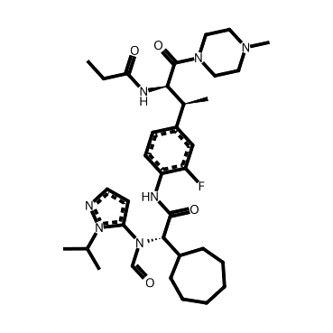 CCC(=O)N[C@@H](C(=O)N1CCN(C)CC1)[C@@H](C)c1ccc(NC(=O)[C@H](C2CCCCCC2)N(C=O)c2ccnn2C(C)C)c(F)c1